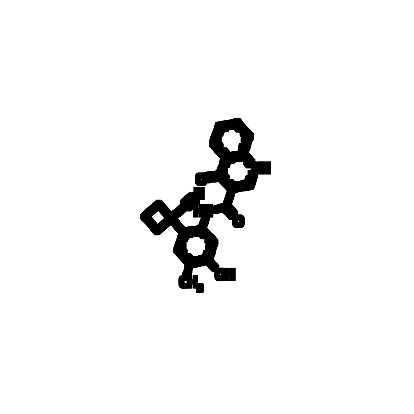 Cc1cc(C2(C#N)CCC2)c(NC(=O)c2c[nH]c3ccccc3c2=O)cc1O